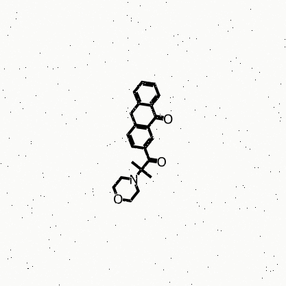 CC(C)(C(=O)c1ccc2c(c1)C(=O)c1ccccc1C2)N1CCOCC1